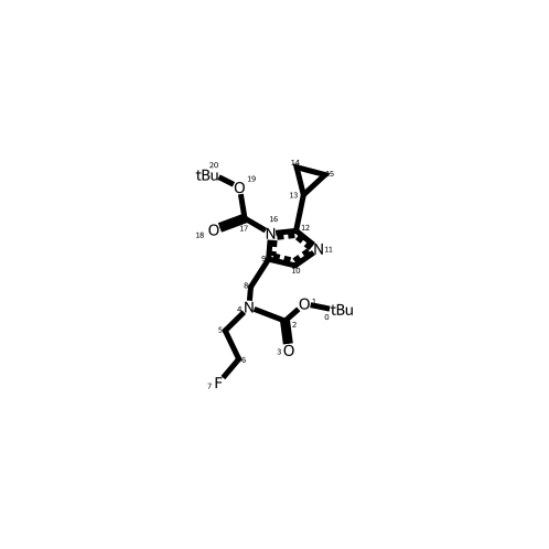 CC(C)(C)OC(=O)N(CCF)Cc1cnc(C2CC2)n1C(=O)OC(C)(C)C